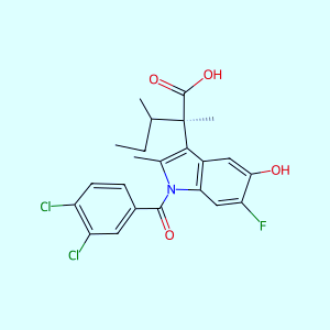 CCC(C)[C@@](C)(C(=O)O)c1c(C)n(C(=O)c2ccc(Cl)c(Cl)c2)c2cc(F)c(O)cc12